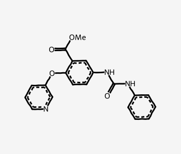 COC(=O)c1cc(NC(=O)Nc2ccccc2)ccc1Oc1cccnc1